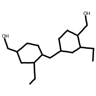 CCC1CC(CC2CCC(CO)CC2CC)CCC1CO